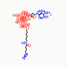 [N-]=[N+]=NCCCC(=O)NCCCCCCOP(=O)(O)OP(=O)(O)OP(=O)(O)OP(=O)(O)OP(=O)(O)OP(=O)(O)OC[C@H]1O[C@@H](N2CNC3=C2N=CNC3N)C[C@H]1O